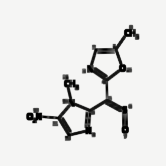 Cc1cnc(C(=S=O)c2ncc([N+](=O)[O-])n2C)o1